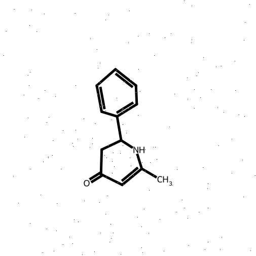 CC1=CC(=O)CC(c2ccccc2)N1